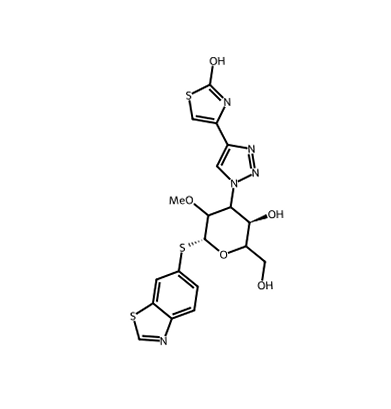 COC1C(n2cc(-c3csc(O)n3)nn2)[C@@H](O)C(CO)O[C@@H]1Sc1ccc2ncsc2c1